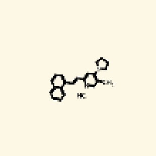 Cc1cnc(/C=C/c2cccc3ccccc23)cc1N1CCCC1.Cl